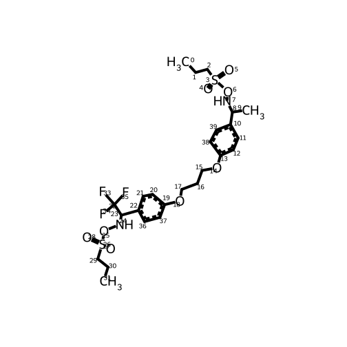 CCCS(=O)(=O)ONC(C)c1ccc(OCCCOc2ccc(C(NOS(=O)(=O)CCC)C(F)(F)F)cc2)cc1